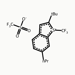 CCCc1ccc2cc(C(C)(C)C)[s+](C(F)(F)F)c2c1.O=S(=O)([O-])C(F)(F)F